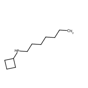 CCCCCCCPC1CCC1